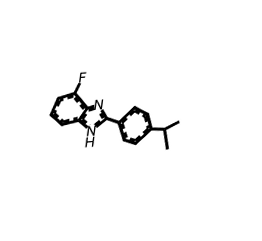 CC(C)c1ccc(-c2nc3c(F)cccc3[nH]2)cc1